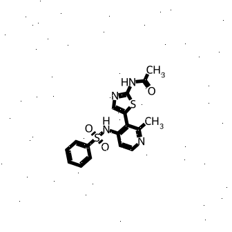 CC(=O)Nc1ncc(-c2c(NS(=O)(=O)c3ccccc3)ccnc2C)s1